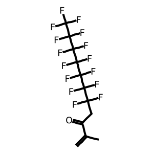 C=C(C)C(=O)CC(F)(F)C(F)(F)C(F)(F)C(F)(F)C(F)(F)C(F)(F)C(F)(F)F